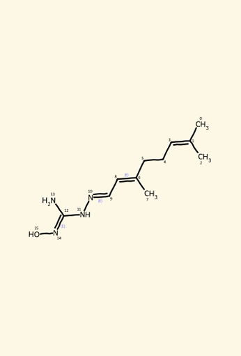 CC(C)=CCC/C(C)=C/C=N/N/C(N)=N/O